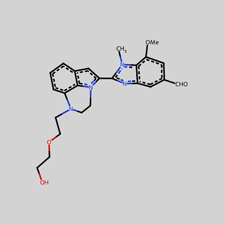 COc1cc(C=O)cc2nc(-c3cc4cccc5c4n3CCN5CCOCCO)n(C)c12